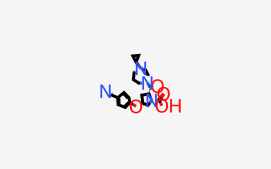 N#Cc1ccc(O[C@H]2C[C@H](C(=O)N3CCCN(C4CC4)CC3)N(C(=O)O)C2)cc1